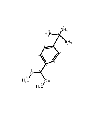 BC(B)(N)c1ccc(C(OC)OC)cc1